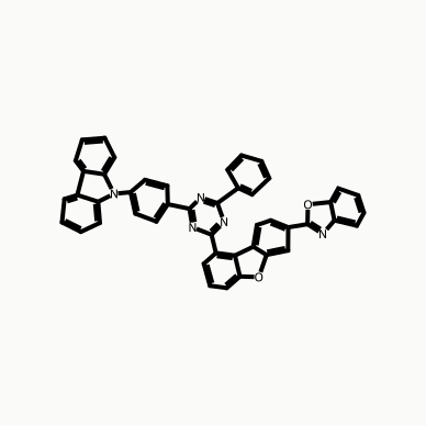 c1ccc(-c2nc(-c3ccc(-n4c5ccccc5c5ccccc54)cc3)nc(-c3cccc4oc5cc(-c6nc7ccccc7o6)ccc5c34)n2)cc1